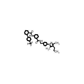 CCCc1c(C)nn(-c2ccc(CNC(=O)c3cccc(NC(=O)c4ccccc4-c4ccc(C(F)(F)F)cc4)c3)cc2)c1C